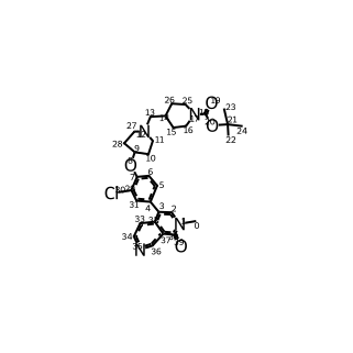 Cn1cc(-c2ccc(OC3CCN(CC4CCN(C(=O)OC(C)(C)C)CC4)CC3)c(Cl)c2)c2ccncc2c1=O